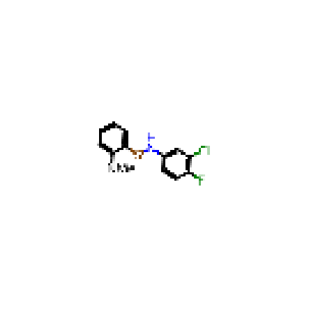 CNc1ccccc1SNc1ccc(F)c(Cl)c1